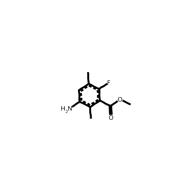 COC(=O)c1c(C)c(N)cc(C)c1F